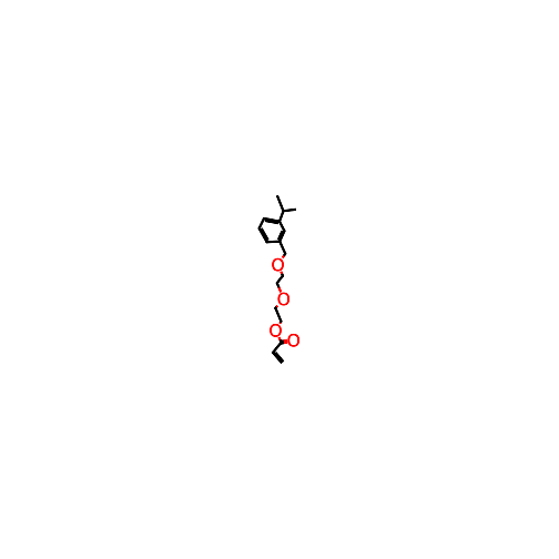 C=CC(=O)OCCOCCOCc1cccc(C(C)C)c1